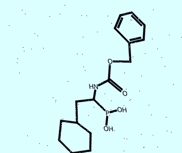 O=C(NC(CC1CCCCC1)P(O)O)OCc1ccccc1